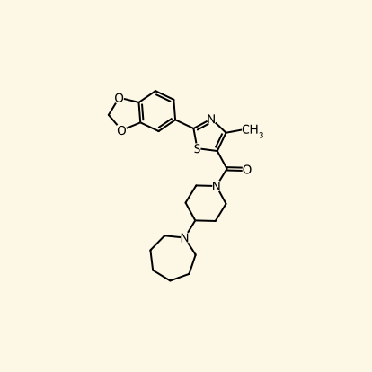 Cc1nc(-c2ccc3c(c2)OCO3)sc1C(=O)N1CCC(N2CCCCCC2)CC1